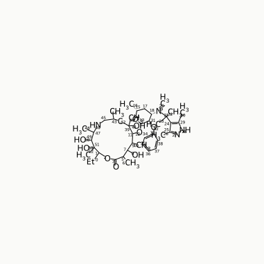 CCC1OC(=O)C(C)C(O)C(C)C(O[C@@H]2O[C@H](C)C[C@H](N(C)C(C)(C)c3c(C)n[nH]c3C)[C@H]2Oc2ccccc2)C(C)(O)CC(C)CNC(C)C(O)C1(C)O